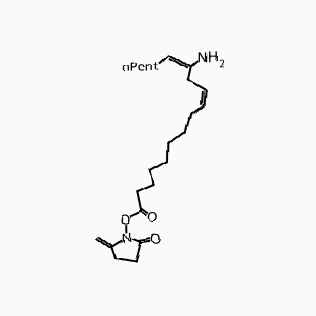 C=C1CCC(=O)N1OC(=O)CCCCCCC/C=C\C/C(N)=C\CCCCC